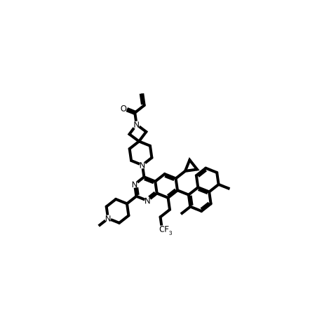 C=CC(=O)N1CC2(CCN(c3nc(C4CCN(C)CC4)nc4c(CCC(F)(F)F)c(-c5c(C)ccc6c5C=CCC6C)c(C5CC5)cc34)CC2)C1